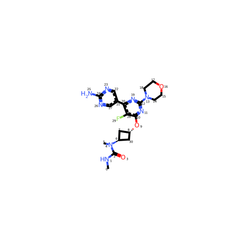 CNC(=O)N(C)[C@H]1C[C@H](Oc2nc(N3CCOCC3)nc(-c3cnc(N)nc3)c2F)C1